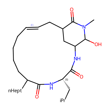 CCCCCCCC1CCCC/C=C/CC2CC(NC(=O)[C@H](CC(C)C)NC1=O)C(O)N(C)C2=O